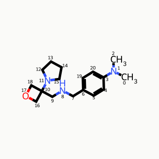 CN(C)c1ccc(CNCC2(N3CCCC3)COC2)cc1